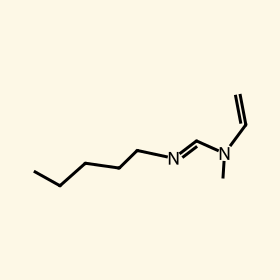 C=CN(C)C=NCCCCC